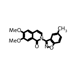 COc1cc2ccn(-c3noc4ccc(C)cc34)c(=O)c2cc1OC